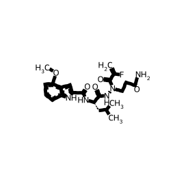 C=C(F)C(=O)N(CCC(N)=O)NC(=O)[C@H](CC(C)C)NC(=O)c1cc2c(OC)cccc2[nH]1